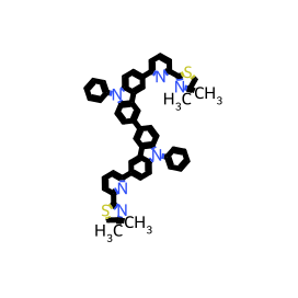 CC1(C)CSC(c2cccc(-c3ccc4c(c3)c3cc(-c5ccc6c(c5)c5cc(-c7cccc(C8=NC(C)(C)CS8)n7)ccc5n6-c5ccccc5)ccc3n4-c3ccccc3)n2)=N1